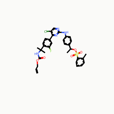 C=CCOC(=O)NC(C)(C)c1ccc(-c2nc(Nc3ccc(C(C)OS(=O)(=O)c4ccccc4C)cc3)ncc2Cl)cc1F